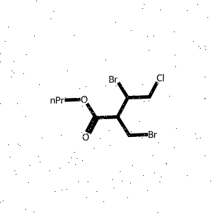 CCCOC(=O)C(CBr)C(Br)CCl